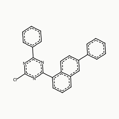 Clc1nc(-c2ccccc2)nc(-c2cccc3cc(-c4ccccc4)ccc23)n1